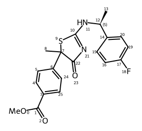 COC(=O)c1ccc(C2(C)SC(N[C@@H](C)c3ccc(F)cc3)=NC2=O)cc1